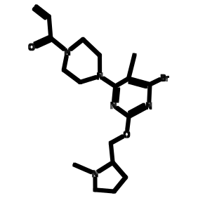 C=CC(=O)N1CCN(c2nc(OCC3CCCN3C)nc(Br)c2C)CC1